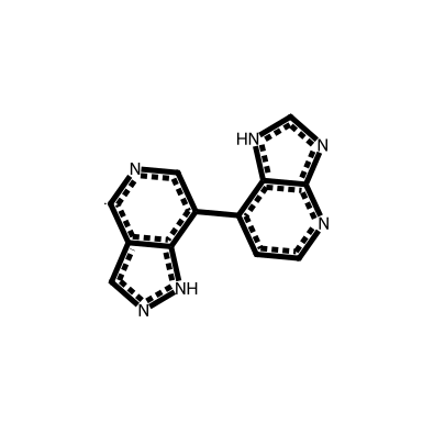 [c]1ncc(-c2ccnc3nc[nH]c23)c2[nH]ncc12